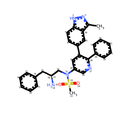 Cc1n[nH]c2ccc(-c3cc(N(C[C@@H](N)Cc4ccccc4)S(C)(=O)=O)cnc3-c3ccccc3)cc12